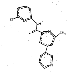 Cc1cc(-c2cccnc2)cc(C(=O)Nc2cccc(Cl)n2)n1